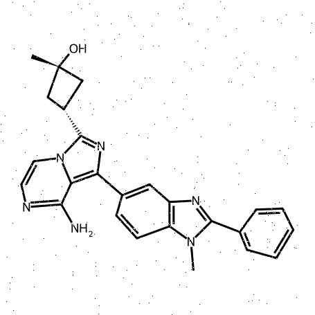 Cn1c(-c2ccccc2)nc2cc(-c3nc([C@H]4C[C@@](C)(O)C4)n4ccnc(N)c34)ccc21